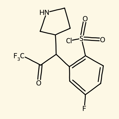 O=C(C(c1cc(F)ccc1S(=O)(=O)Cl)C1CCNC1)C(F)(F)F